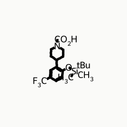 CC(C)(C)[Si](C)(C)Oc1ccc(C(F)(F)F)cc1C1CCN(C(=O)O)CC1